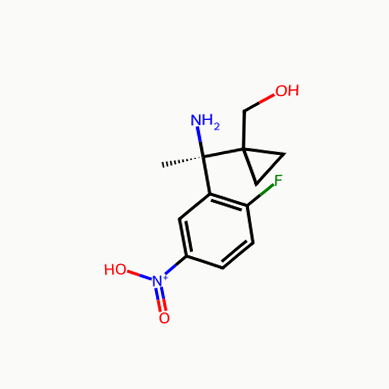 C[C@@](N)(c1cc([N+](=O)O)ccc1F)C1(CO)CC1